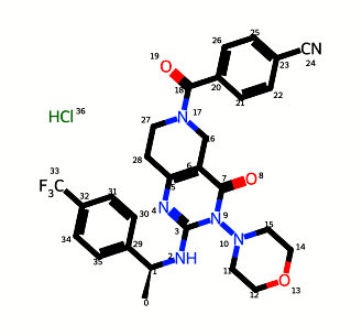 C[C@H](Nc1nc2c(c(=O)n1N1CCOCC1)CN(C(=O)c1ccc(C#N)cc1)CC2)c1ccc(C(F)(F)F)cc1.Cl